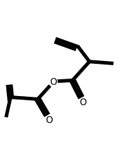 C=CC(C)C(=O)OC(=O)C(=C)C